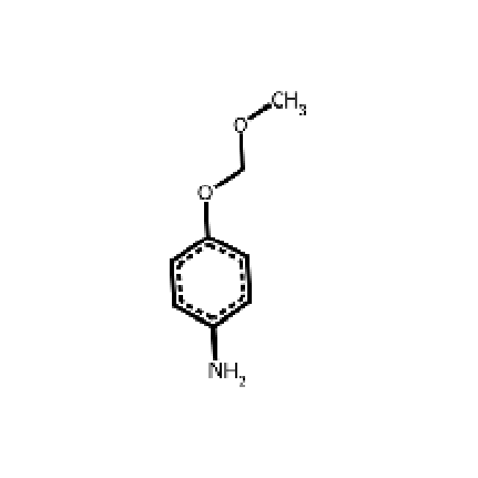 COCOc1ccc(N)cc1